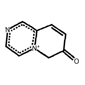 O=C1C=Cc2cncc[n+]2C1